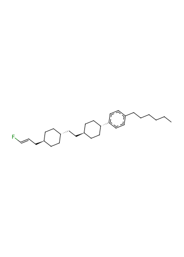 CCCCCCc1ccc([C@H]2CC[C@H](CC[C@H]3CC[C@H](CC=CF)CC3)CC2)cc1